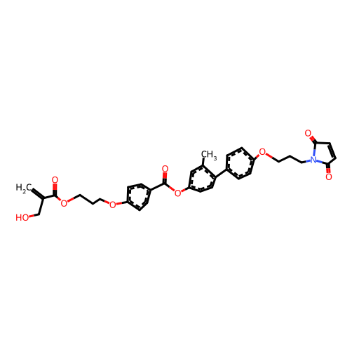 C=C(CO)C(=O)OCCCOc1ccc(C(=O)Oc2ccc(-c3ccc(OCCCN4C(=O)C=CC4=O)cc3)c(C)c2)cc1